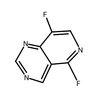 Fc1ncc(F)c2ncncc12